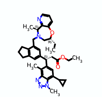 CCOC(=O)C[C@@H](c1cc2c(c(CN3C[C@@H](CC)Oc4cccnc4[C@@H]3C)c1)CCC2)c1cc(C2CC2)c2c(nnn2C)c1C